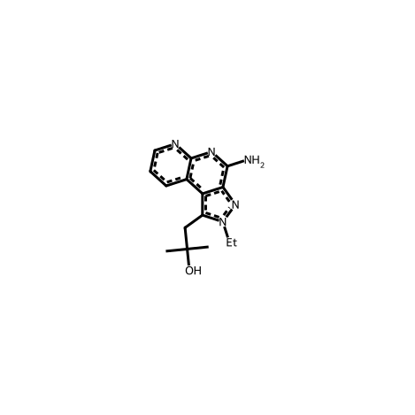 CCn1nc2c(N)nc3ncccc3c2c1CC(C)(C)O